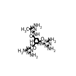 Cc1nc(N)nc(NC(=O)c2cc(C(=O)Nc3nc(N)nc(N)n3)cc(C(=O)Nc3nc(N)nc(N)n3)c2)n1